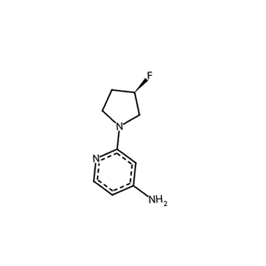 Nc1ccnc(N2CC[C@@H](F)C2)c1